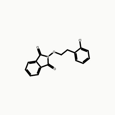 O=C1c2ccccc2C(=O)N1OCCc1ccccc1Cl